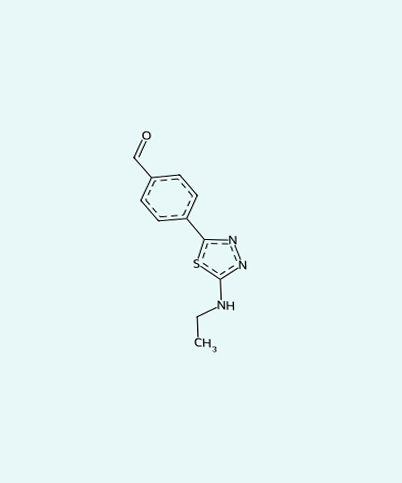 CCNc1nnc(-c2ccc(C=O)cc2)s1